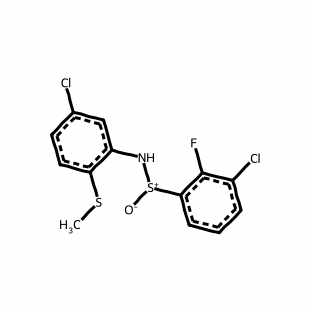 CSc1ccc(Cl)cc1N[S+]([O-])c1cccc(Cl)c1F